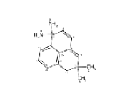 CC1(C)C=C2C=CC(N)(N)c3cccc(c32)C1